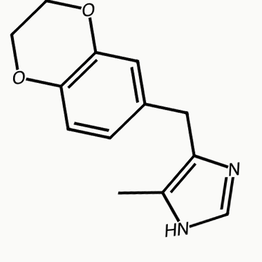 Cc1[nH]cnc1Cc1ccc2c(c1)OCCO2